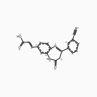 N#Cc1cccc(C2=Nc3ccc(/C=C/C(=O)O)cc3NC(=O)C2)c1